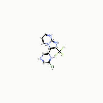 FC(F)(F)c1nc2ncccn2c1-c1cncc(Cl)n1